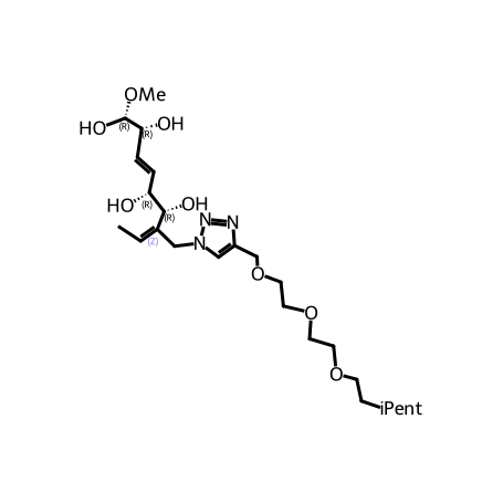 C/C=C(/Cn1cc(COCCOCCOCCC(C)CCC)nn1)[C@@H](O)[C@H](O)C=C[C@@H](O)[C@H](O)OC